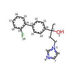 CC(O)(CCn1ccnc1)c1ccc(-c2ccccc2F)cc1